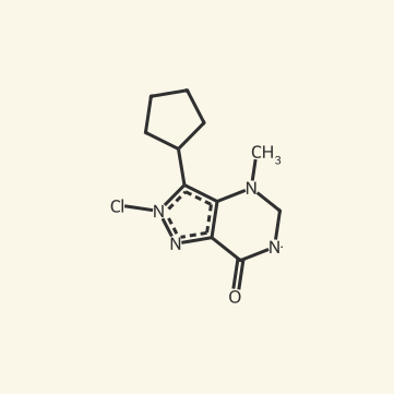 CN1C[N]C(=O)c2nn(Cl)c(C3CCCC3)c21